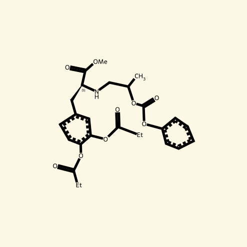 CCC(=O)Oc1ccc(C[C@H](NCC(C)OC(=O)Oc2ccccc2)C(=O)OC)cc1OC(=O)CC